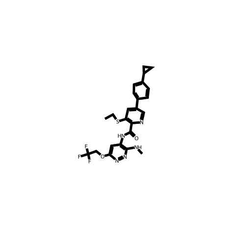 CCSc1cc(-c2ccc(C3CC3)cc2)cnc1C(=O)Nc1cc(OCC(F)(F)F)nnc1NC